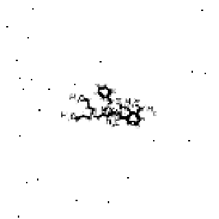 CCCCN(CCCC)Cc1cc(NC(=O)Nc2c(C(C)C)cccc2C(C)C)n(Cc2ccccc2)n1